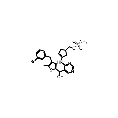 Cc1sc(C(O)c2cncnc2NC2=CCC(COS(N)(=O)=O)C2)cc1Cc1cccc(Br)c1